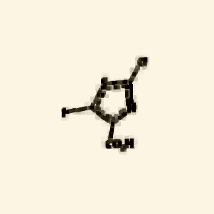 O=C(O)c1nc(Cl)sc1I